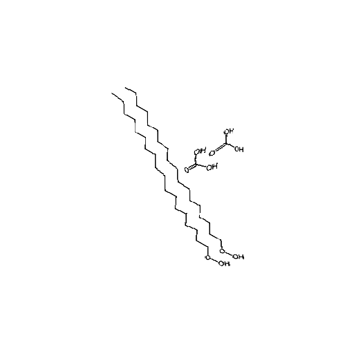 CCCCCCCCCCCCCCCCCCOO.CCCCCCCCCCCCCCCCCCOO.O=C(O)O.O=C(O)O